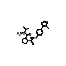 Cc1ncsc1-c1ccc(CNC(=O)C2CCCN2C(=O)[C@@H](N)C(C)C)cc1